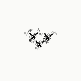 CCCOC(CC)(C(=O)[O-])C(=O)CCC.CCCOC(CC)(C(=O)[O-])C(=O)CCC.CCCOC(CC)(C(=O)[O-])C(=O)CCC.[Al+3]